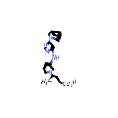 CC(CCC(=O)O)N1CCCC(Nc2cc(N3CC4CC(C4)C3)ncn2)C1